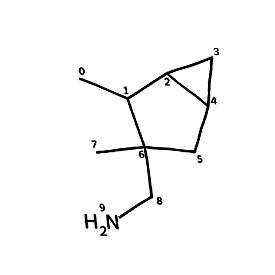 CC1C2CC2CC1(C)CN